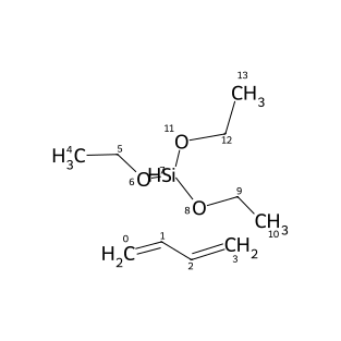 C=CC=C.CCO[SiH](OCC)OCC